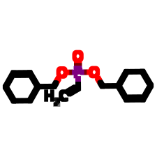 C=CP(=O)(OCC1C=CCCC1)OCC1C=CCCC1